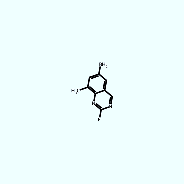 Bc1cc(C)c2nc(F)ncc2c1